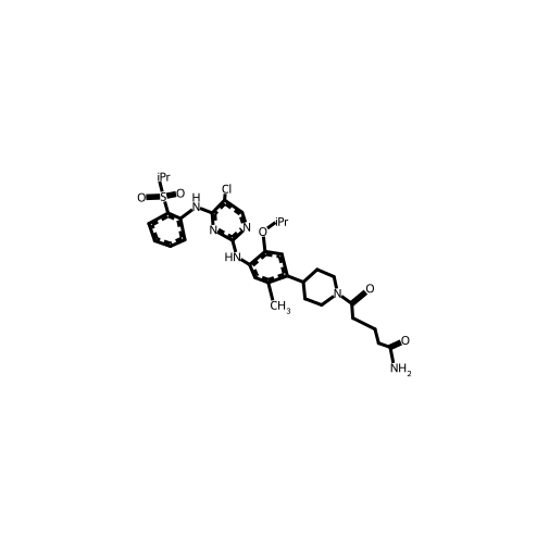 Cc1cc(Nc2ncc(Cl)c(Nc3ccccc3S(=O)(=O)C(C)C)n2)c(OC(C)C)cc1C1CCN(C(=O)CCCC(N)=O)CC1